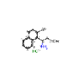 CCCCCCCCCCCC(N)c1c(CCC)ccc2ccccc12.Cl